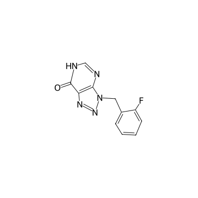 O=c1[nH]cnc2c1nnn2Cc1ccccc1F